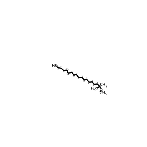 CC(C)(CCCCCCCCCCCCCCCCS)O[SiH3]